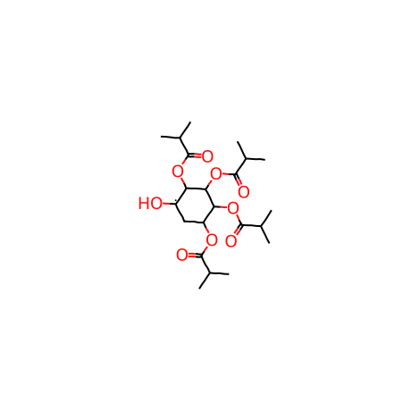 CC(C)C(=O)OC1C[C](O)C(OC(=O)C(C)C)C(OC(=O)C(C)C)C1OC(=O)C(C)C